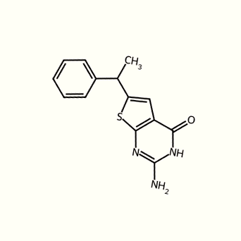 CC(c1ccccc1)c1cc2c(=O)[nH]c(N)nc2s1